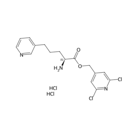 Cl.Cl.N[C@@H](CCCc1cccnc1)C(=O)OCc1cc(Cl)nc(Cl)c1